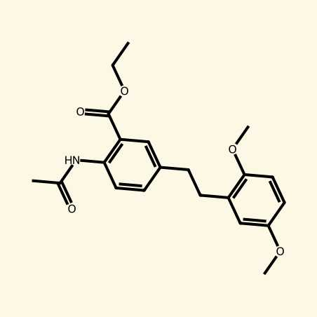 CCOC(=O)c1cc(CCc2cc(OC)ccc2OC)ccc1NC(C)=O